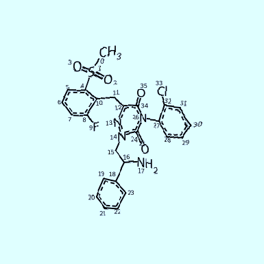 CS(=O)(=O)c1cccc(F)c1Cc1nn(CC(N)c2ccccc2)c(=O)n(-c2ccccc2Cl)c1=O